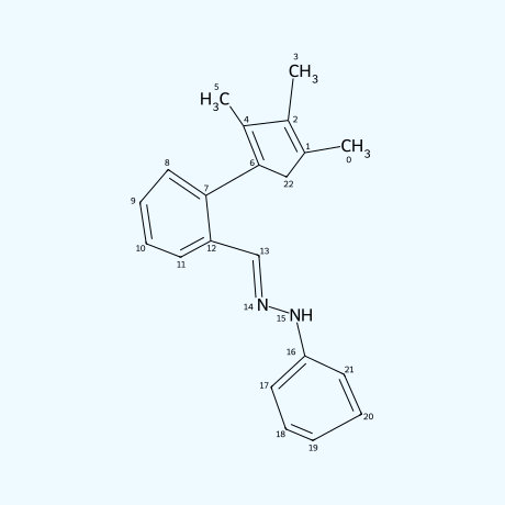 CC1=C(C)C(C)=C(c2ccccc2C=NNc2ccccc2)C1